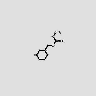 CC(O[SiH3])OCC1CCCCC1